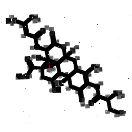 COC(=O)[C@@]12C[C@H](O)C3[C@@]4(C)CC(=O)C(OC(=O)[C@@H](N)CC(C)C)=C(C)C4C[C@H]4OC(=O)[C@H](OC(=O)C=C(C)C)[C@@H]1[C@@]34CO2